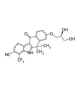 CC1(C)c2cc(OC[C@@H](O)CO)ccc2C(=O)c2c1[nH]c1c(C(F)(F)F)c(C#N)ccc21